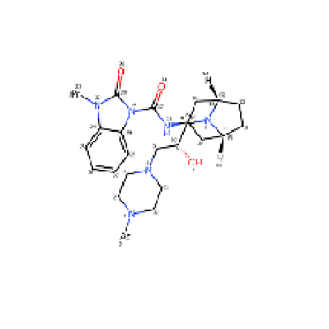 CC(=O)N1CCN(C[C@@H](O)CN2[C@@H]3CC[C@H]2C[C@H](NC(=O)n2c(=O)n(C(C)C)c4ccccc42)C3)CC1